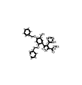 CCNC(=O)c1noc(-c2cc(C(C)C)c(OCc3ccccc3)cc2OCc2ccccc2)c1-c1nnn[nH]1